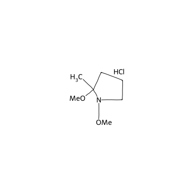 CON1CCCC1(C)OC.Cl